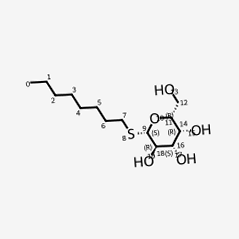 CCCCCCCCS[C@@H]1O[C@H](CO)[C@H](O)[C@H](O)[C@H]1O